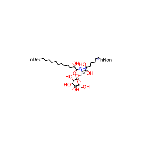 CCCCCCCCC/C=C\CCC[C@@H](O)[C@@H](O)[C@H](CO[C@@H]1O[C@H](CO)[C@@H](O)C(O)C1O)NC(=O)[C@H](O)CCCCCCCCCCCCCCCCCCCC